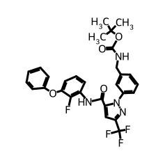 CC(C)(C)OC(=O)NCc1cccc(-n2nc(C(F)(F)F)cc2C(=O)Nc2cccc(Oc3ccccc3)c2F)c1